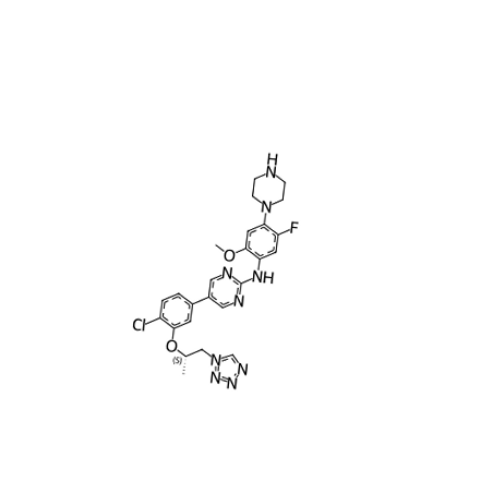 COc1cc(N2CCNCC2)c(F)cc1Nc1ncc(-c2ccc(Cl)c(O[C@@H](C)Cn3cnnn3)c2)cn1